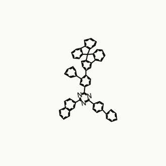 c1ccc(-c2ccc(-c3nc(-c4ccc(-c5ccc6c(c5)-c5ccccc5C65c6ccccc6-c6ccccc65)c(-c5ccccc5)c4)nc(-c4ccc5ccccc5c4)n3)cc2)cc1